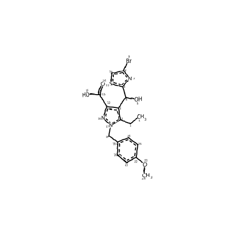 CCc1c(C(O)c2nc(Br)cs2)c(C(=O)O)nn1Cc1ccc(OC)cc1